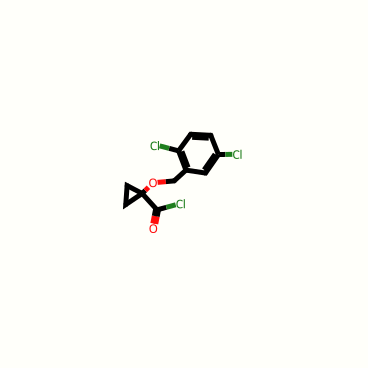 O=C(Cl)C1(OCc2cc(Cl)ccc2Cl)CC1